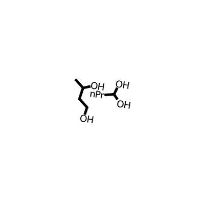 CC(O)CCO.CCCC(O)O